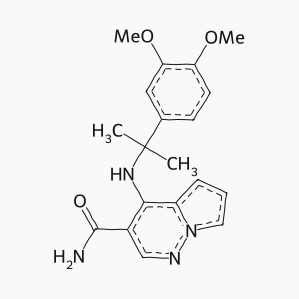 COc1ccc(C(C)(C)Nc2c(C(N)=O)cnn3cccc23)cc1OC